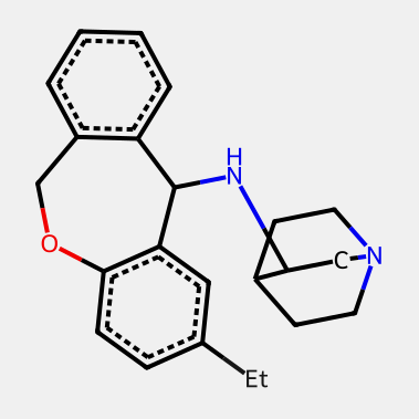 CCc1ccc2c(c1)C(NC1CN3CCC1CC3)c1ccccc1CO2